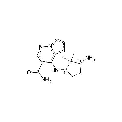 CC1(C)[C@H](N)CC[C@@H]1Nc1c(C(N)=O)cnn2cccc12